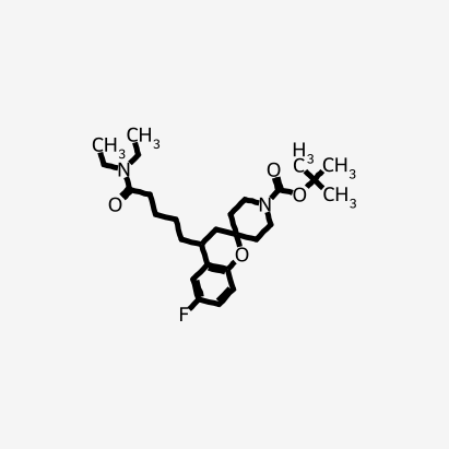 CCN(CC)C(=O)CCCCC1CC2(CCN(C(=O)OC(C)(C)C)CC2)Oc2ccc(F)cc21